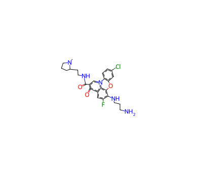 CN1CCCC1CCNC(=O)c1cn2c3c(c(NCCCN)c(F)cc3c1=O)Oc1cc(Cl)ccc1-2